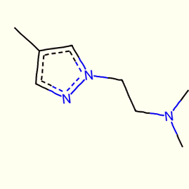 Cc1cnn(CCN(C)C)c1